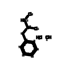 Cl.Cl.ClNN(Cl)Cc1ccccc1